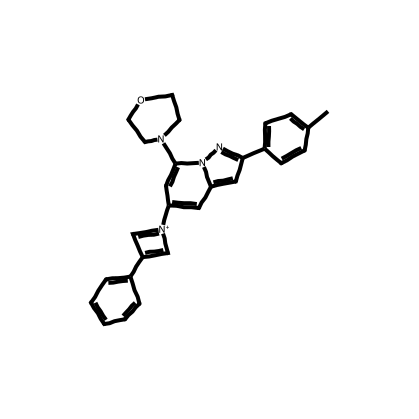 Cc1ccc(-c2cc3cc([N+]4=CC(c5ccccc5)=C4)cc(N4CCOCC4)n3n2)cc1